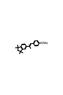 COc1ccc(/C=C(\C)c2ccc3c(c2)C(C)(C)CC3(C)C)cc1